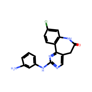 Nc1cccc(Nc2ncc3c(n2)-c2ccc(Cl)cc2NC(=O)C3)c1